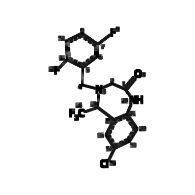 O=C1CN(Cc2cc(F)ccc2F)C(C(F)(F)F)c2cc(Cl)ccc2N1